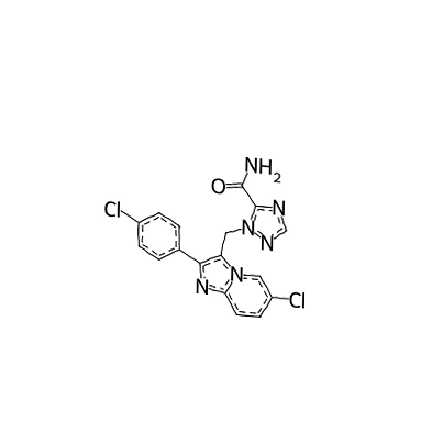 NC(=O)c1ncnn1Cc1c(-c2ccc(Cl)cc2)nc2ccc(Cl)cn12